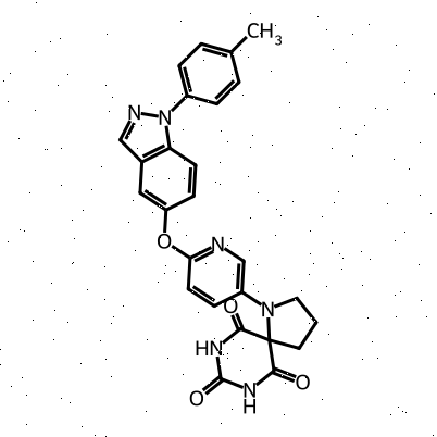 Cc1ccc(-n2ncc3cc(Oc4ccc(N5CCCC56C(=O)NC(=O)NC6=O)cn4)ccc32)cc1